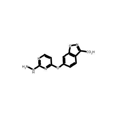 NNc1nccc(Oc2ccc3c(C(=O)O)noc3c2)n1